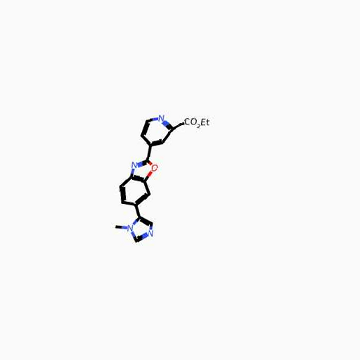 CCOC(=O)c1cc(-c2nc3ccc(-c4cncn4C)cc3o2)ccn1